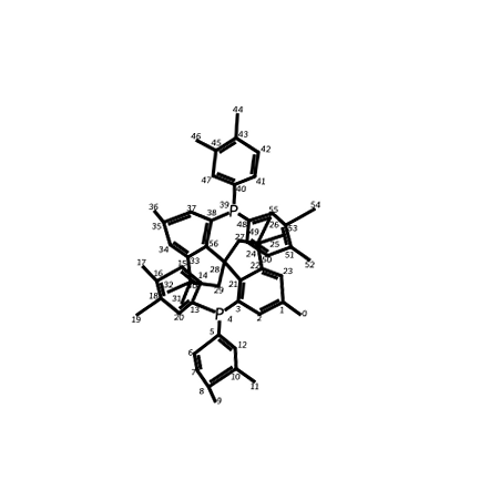 Cc1cc(P(c2ccc(C)c(C)c2)c2ccc(C)c(C)c2)c2c(c1)C(C)(C)CC21CC(C)(C)c2cc(C)cc(P(c3ccc(C)c(C)c3)c3ccc(C)c(C)c3)c21